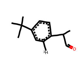 [2H]c1cc(C(C)(C)C)ccc1C(C)C=O